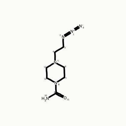 [N-]=[N+]=NCCN1CCN(C(N)=O)CC1